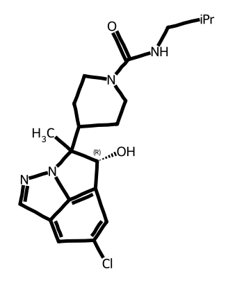 CC(C)CNC(=O)N1CCC(C2(C)[C@H](O)c3cc(Cl)cc4cnn2c34)CC1